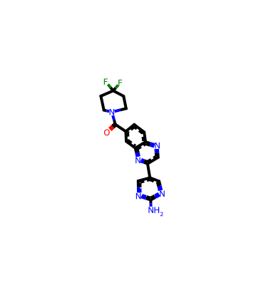 Nc1ncc(-c2cnc3ccc(C(=O)N4CCC(F)(F)CC4)cc3n2)cn1